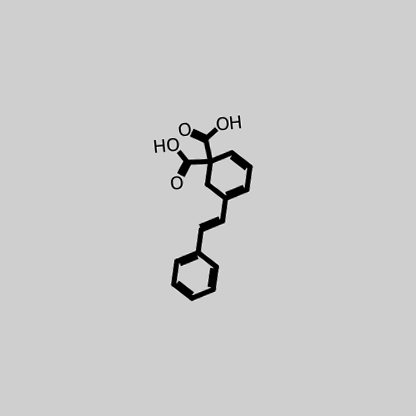 O=C(O)C1(C(=O)O)C=CC=C(/C=C/c2ccccc2)C1